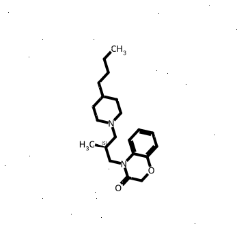 CCCCC1CCN(C[C@H](C)CN2C(=O)COc3ccccc32)CC1